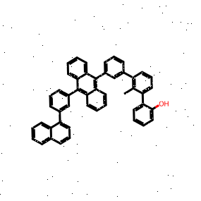 Cc1c(-c2cccc(-c3c4ccccc4c(-c4cccc(-c5cccc6ccccc56)c4)c4ccccc34)c2)cccc1-c1ccccc1O